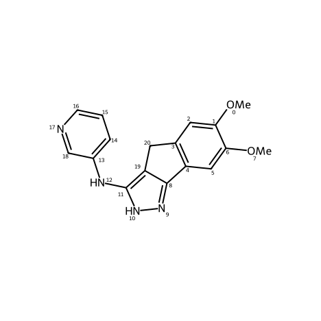 COc1cc2c(cc1OC)-c1n[nH]c(Nc3cccnc3)c1C2